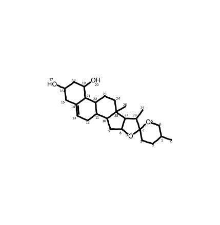 CC1CCC2(OC1)OC1CC3C4CC=C5CC(O)CC(O)C5C4CCC3(C)C1C2C